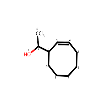 OC(C1C=CCCCCC1)C(Cl)(Cl)Cl